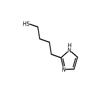 SCCCCc1ncc[nH]1